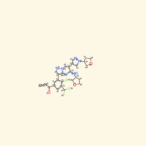 CNC(=O)c1cc(-c2cnn3cc(-c4cnn(C5CCOC5)c4)c(N[C@H]4CCOC4)nc23)c(F)c(C(F)F)c1